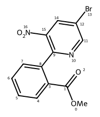 COC(=O)c1ccccc1-c1ncc(Br)cc1[N+](=O)[O-]